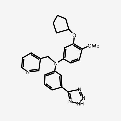 COc1ccc(N(Cc2cccnc2)c2cccc(-c3nn[nH]n3)c2)cc1OC1CCCC1